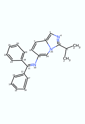 CC(C)c1ncc2ccc(N=C(c3ccccc3)c3ccccc3)cn12